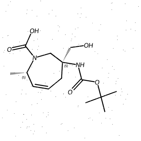 C[C@H]1C=CC[C@](CO)(NC(=O)OC(C)(C)C)CN1C(=O)O